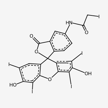 O=C(CI)Nc1ccc2c(c1)C(=O)OC21c2cc(I)c(O)c(I)c2Oc2c1cc(I)c(O)c2I